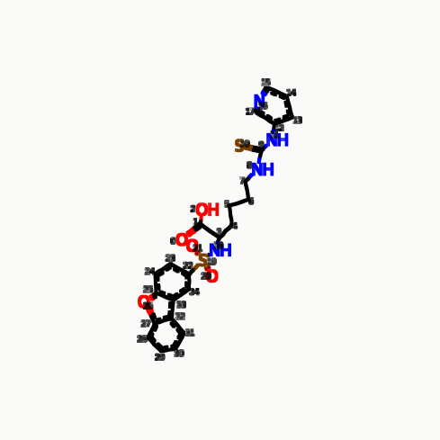 O=C(O)C(CCCCNC(=S)Nc1cccnc1)NS(=O)(=O)c1ccc2oc3ccccc3c2c1